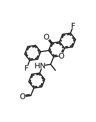 CC(Nc1ccc(C=O)cc1)c1oc2ccc(F)cc2c(=O)c1-c1cccc(F)c1